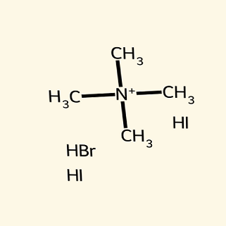 Br.C[N+](C)(C)C.I.I